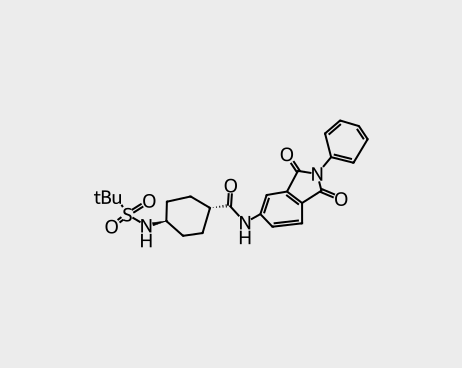 CC(C)(C)S(=O)(=O)N[C@H]1CC[C@H](C(=O)Nc2ccc3c(c2)C(=O)N(c2ccccc2)C3=O)CC1